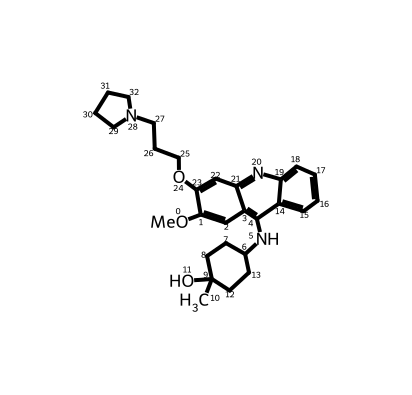 COc1cc2c(NC3CCC(C)(O)CC3)c3ccccc3nc2cc1OCCCN1CCCC1